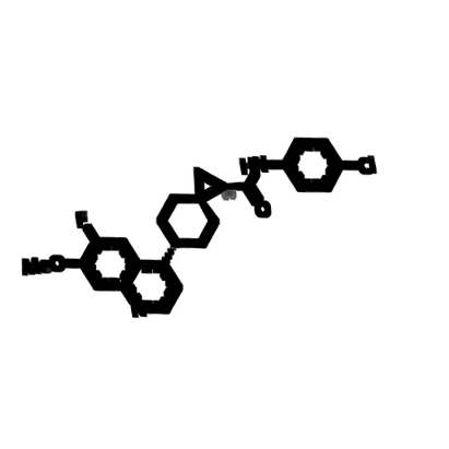 COc1cc2nccc([C@H]3CC[C@@]4(CC3)C[C@H]4C(=O)Nc3ccc(Cl)cc3)c2cc1F